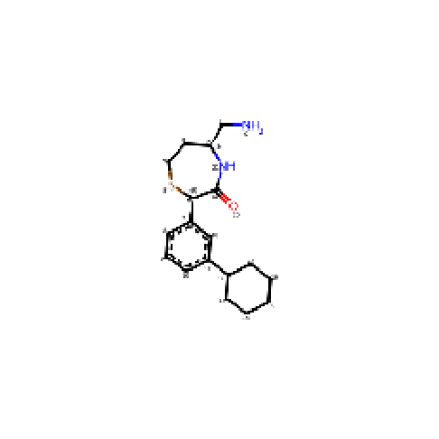 NC[C@@H]1CCS[C@H](c2cccc(C3CCCCC3)c2)C(=O)N1